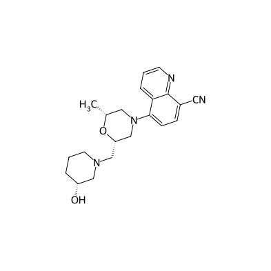 C[C@@H]1CN(c2ccc(C#N)c3ncccc23)C[C@H](CN2CCC[C@@H](O)C2)O1